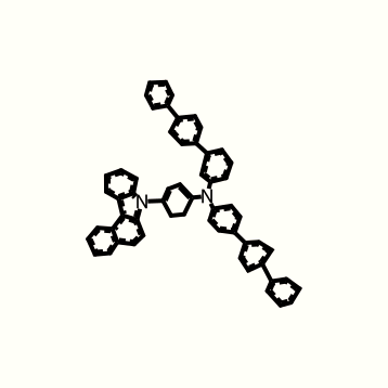 C1=C(N(c2ccc(-c3ccc(-c4ccccc4)cc3)cc2)c2cccc(-c3ccc(-c4ccccc4)cc3)c2)CCC(n2c3ccccc3c3c4ccccc4ccc32)=C1